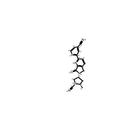 C[C@@H]1C[C@@H](N2Cc3ccc(-c4cc(C#N)ccn4)nc3C2=O)CN1C#N